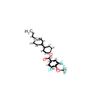 CCC[SiH]1CCC(C2CCC(OC(=O)c3cc(F)c(OC(F)F)c(F)c3)CC2)CC1